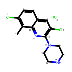 Cc1c(Cl)ccc2cc(Cl)c(N3CCNCC3)nc12.Cl